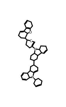 C1=CC2C3CC(C4CCC5C(C4)C4C=CCCC4N5C4=CCC(C5CCC=C6C7=C(CCC=C7)OC65)CC4)CC=C3N(C3CC=CCC3)C2C=C1